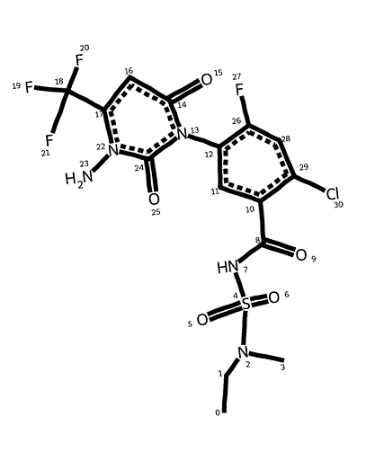 CCN(C)S(=O)(=O)NC(=O)c1cc(-n2c(=O)cc(C(F)(F)F)n(N)c2=O)c(F)cc1Cl